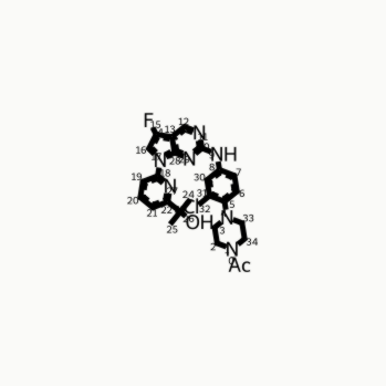 CC(=O)N1CCN(c2ccc(Nc3ncc4c(F)cn(-c5cccc(C(C)(C)O)n5)c4n3)cc2Cl)CC1